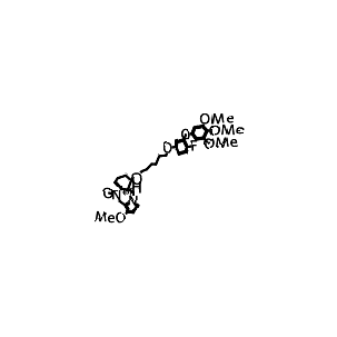 COc1cc(Oc2cc(OCCCCCCOC3CCC=C4[C@@H]3Cn3ccc(OC)c3C=[N+]4[O-])ccc2F)cc(OC)c1OC